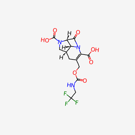 O=C(NCC(F)(F)F)OCC1=C(C(=O)O)N2C(=O)[C@@H]3[C@H]2[C@H](C1)CN3C(=O)O